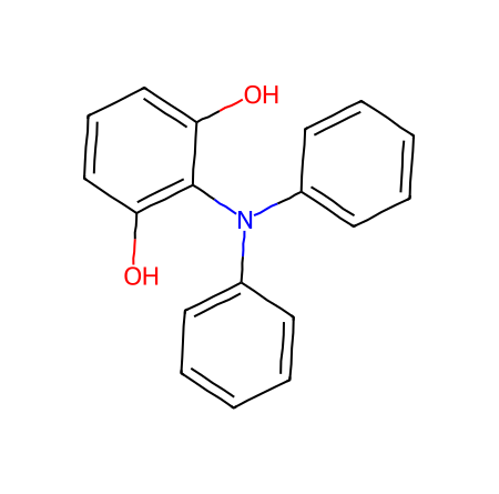 Oc1cccc(O)c1N(c1ccccc1)c1ccccc1